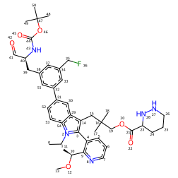 CCn1c(-c2cccnc2[C@H](C)OC)c(CC(C)(C)COC(=O)C2CCCNN2)c2cc(-c3cc(CF)cc(C[C@@H](C=O)NC(=O)OC(C)(C)C)c3)ccc21